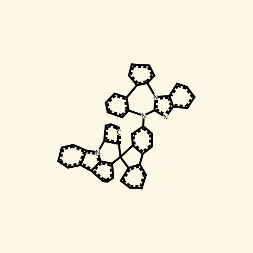 c1ccc2c(c1)-c1ccccc1-n1c(nc3ccccc31)N2c1ccc2c(c1)C1(c3ccccc3-2)c2ccccc2-n2c3ccccc3c3cccc1c32